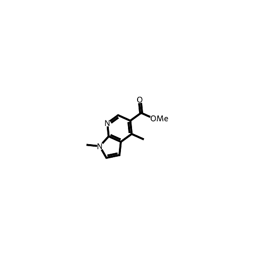 COC(=O)c1cnc2c(ccn2C)c1C